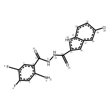 Nc1cc(F)c(F)cc1C(=O)NNC(=O)c1cc2cc(Cl)ccc2[nH]1